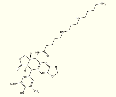 COc1cc(C2c3cc4c(cc3[C@@H](NC(=O)CCCCNCCCNCCCCN)[C@H]3COC(=O)[C@H]23)OCO4)cc(C)c1O